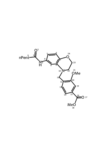 CCCCCC(=O)Nc1ccc2c(c1)N(Cc1ccc(C(=O)OC)cc1OC)CCO2